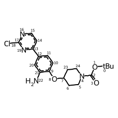 CC(C)(C)OC(=O)N1CCC(Oc2ccc(-c3ccnc(Cl)n3)cc2N)CC1